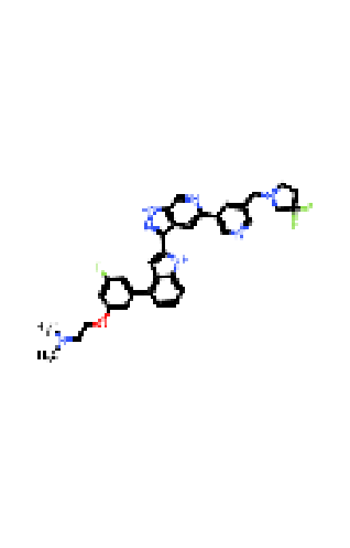 CN(C)CCOc1cc(F)cc(-c2cccc3[nH]c(-c4n[nH]c5cnc(-c6cncc(CN7CCC(F)(F)C7)c6)cc45)cc23)c1